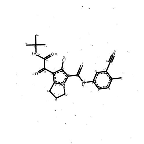 Cc1ccc(NC(=O)c2c(Cl)c(C(=O)C(=O)NC(C)(C)C)c3n2CCC3)cc1C#N